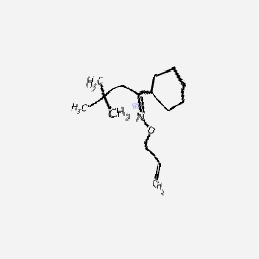 C=CCO/N=C(/CC(C)(C)C)C1CCCCC1